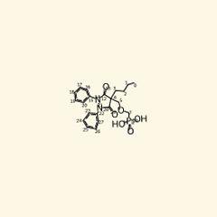 CCCCC1(COCP(=O)(O)O)C(=O)N(c2ccccc2)N(c2ccccc2)C1=O